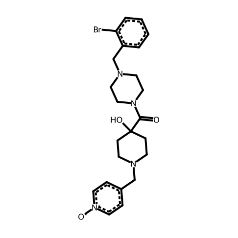 O=C(N1CCN(Cc2ccccc2Br)CC1)C1(O)CCN(Cc2cc[n+]([O-])cc2)CC1